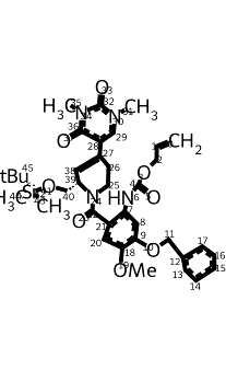 C=CCOC(=O)Nc1cc(OCc2ccccc2)c(OC)cc1C(=O)N1CCC(c2cn(C)c(=O)n(C)c2=O)=C[C@H]1CO[Si](C)(C)C(C)(C)C